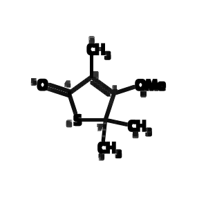 COC1=C(C)C(=O)SC1(C)C